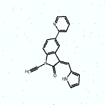 C#CN1C(=O)C(=Cc2ccc[nH]2)c2cc(-c3ccccn3)ccc21